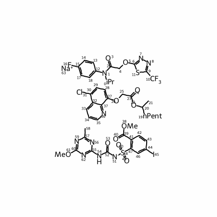 CC(C)N(C(=O)COc1nnc(C(F)(F)F)s1)c1ccc(F)cc1.CCCCCC(C)OC(=O)COc1ccc(Cl)c2cccnc12.COC(=O)c1ccc(I)cc1S(=O)(=O)[N-]C(=O)Nc1nc(C)nc(OC)n1.[Na+]